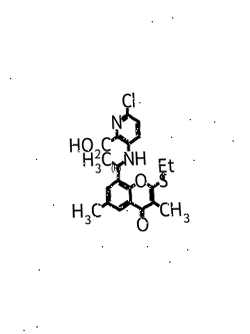 CCSc1oc2c([C@@H](C)Nc3ccc(Cl)nc3C(=O)O)cc(C)cc2c(=O)c1C